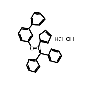 C1=CC[C]([Ti]([O]c2cccc(-c3ccccc3)c2)=[C](c2ccccc2)c2ccccc2)=C1.Cl.Cl